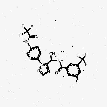 CC(NC(=O)c1cc(Cl)cc(C(F)(F)F)c1)c1ncnn1-c1ccc(NC(=O)C(F)(F)F)cn1